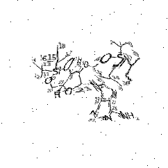 CC(C)[Si](OCO[C@@H]1[C@@H]2O[Si](C(C)(C)C)(C(C)(C)C)OC[C@H]2O[C@H]1n1cnc2c(N)ncnc21)(C(C)C)C(C)C